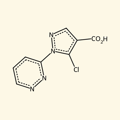 O=C(O)c1cnn(-c2cccnn2)c1Cl